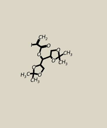 C=C(I)C(=O)OC(C1COC(C)(C)O1)C1COC(C)(C)O1